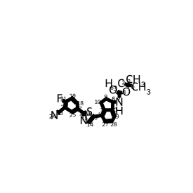 CC(C)(C)OC(=O)NC1CCc2c(-c3cnc(-c4ccc(F)c(C#N)c4)s3)cccc21